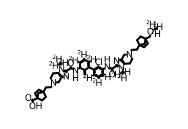 [2H]C1=C(c2c([2H])c([2H])c([2H])c(NC(=O)c3nc4c(n3C([2H])([2H])[2H])CCN(CCC35CCC(COC([2H])([2H])[2H])(CC3)C5)C4)c2Cl)C(=C)C(NC(=O)c2nc3c(n2C([2H])([2H])[2H])CCN(CCC24CCC(C(=O)O)(CC2)C4)C3)C([2H])=C1[2H]